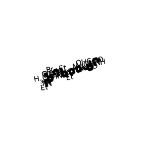 CCOc1cc(N2CCC(N3CCN(CCc4cccc(N(C=O)C5CCC(=O)NC5=O)c4OC)CC3)CC2)c(CC)cc1Nc1ncc(Br)c(Nc2ccc3nc(CC)ncc3c2P(C)(C)=O)n1